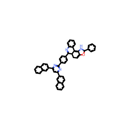 C1=C2OC(c3ccccc3)NC2=C2c3ccccc3N=C(c3ccc(-c4nc(-c5ccc6ccccc6c5)cc(-c5ccc6ccccc6c5)n4)cc3)C2C1